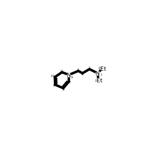 CCN(CC)CCCN1C=CC=CC1